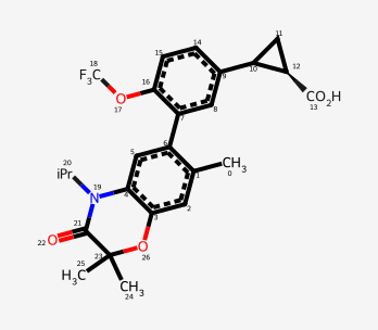 Cc1cc2c(cc1-c1cc(C3C[C@H]3C(=O)O)ccc1OC(F)(F)F)N(C(C)C)C(=O)C(C)(C)O2